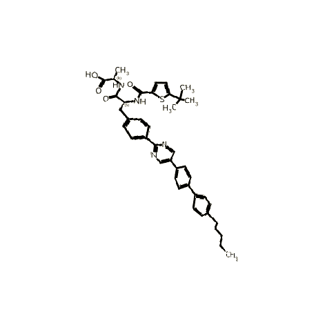 CCCCCc1ccc(-c2ccc(-c3cnc(-c4ccc(C[C@H](NC(=O)c5ccc(C(C)(C)C)s5)C(=O)N[C@H](C)C(=O)O)cc4)nc3)cc2)cc1